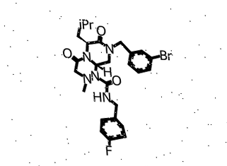 CC(C)C[C@H]1C(=O)N(Cc2cccc(Br)c2)C[C@H]2N1C(=O)CN(C)N2C(=O)NCc1ccc(F)cc1